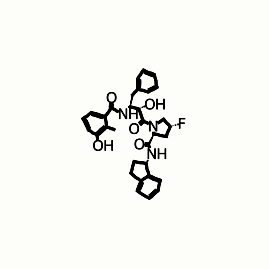 Cc1c(O)cccc1C(=O)N[C@@H](Cc1ccccc1)[C@H](O)C(=O)N1C[C@H](F)C[C@H]1C(=O)N[C@H]1CCc2ccccc21